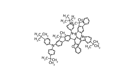 CC(C)(C)c1ccc(N2B3c4cc5c(cc4-n4c6ccc(C(C)(C)C)cc6c6c7c(oc8ccccc87)c(c3c64)-c3cc4c(cc32)C(C)(C)c2cc(N(c3ccc(C(C)(C)C)cc3)c3ccc(C(C)(C)C)cc3)ccc2-4)-c2ccccc2C5(C)C)cc1